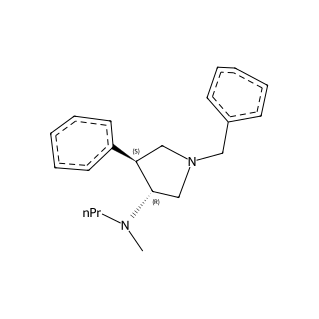 CCCN(C)[C@H]1CN(Cc2ccccc2)C[C@@H]1c1ccccc1